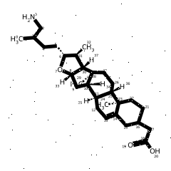 CC(CN)CC[C@H]1O[C@H]2C[C@H]3[C@@H]4CC=C5CC(CC(=O)O)CC[C@]5(C)[C@H]4CC[C@]3(C)[C@H]2[C@@H]1C